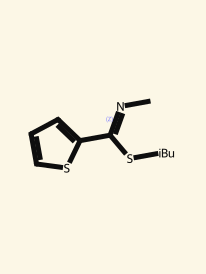 CCC(C)S/C(=N\C)c1cccs1